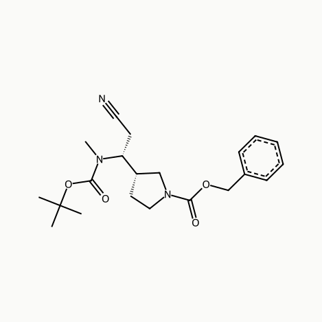 CN(C(=O)OC(C)(C)C)[C@H](CC#N)[C@H]1CCN(C(=O)OCc2ccccc2)C1